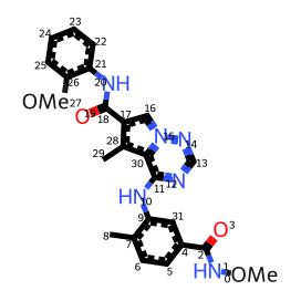 CONC(=O)c1ccc(C)c(Nc2ncnn3cc(C(=O)Nc4ccccc4OC)c(C)c23)c1